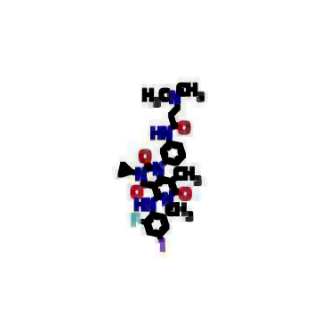 Cc1c(=O)n(C)c(Nc2ccc(I)cc2F)c2c(=O)n(C3CC3)c(=O)n(-c3cccc(NC(=O)CCN(C)C)c3)c12